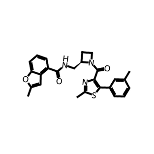 Cc1cccc(-c2sc(C)nc2C(=O)N2CC[C@@H]2CNC(=O)c2cccc3oc(C)cc23)c1